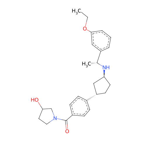 CCOc1cccc([C@@H](C)N[C@H]2CC[C@H](c3ccc(C(=O)N4CCC(O)C4)cc3)C2)c1